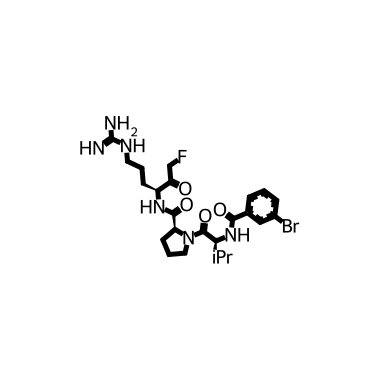 CC(C)[C@H](NC(=O)c1cccc(Br)c1)C(=O)N1CCC[C@H]1C(=O)N[C@@H](CCCNC(=N)N)C(=O)CF